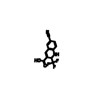 N#Cc1ccc2c(c1)C=C(C(=O)O)C(C(F)(F)F)N2